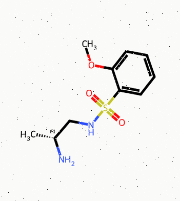 COc1ccccc1S(=O)(=O)NC[C@@H](C)N